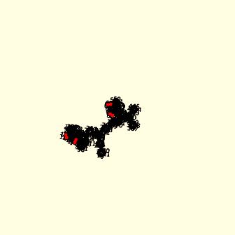 c1ccc(-c2ccc(-c3nc(-c4ccc(-c5ccc6c(ccc7c6c6cc8c(cc6n7-c6cc(-c7ccccc7)cc(-c7ccccc7)n6)Oc6ccccc6C86c7ccccc7-c7ccccc76)c5)cc4)nc(-c4cccc(-n5c6cc7c(cc6c6c8ccccc8ccc65)C5(c6ccccc6O7)c6ccccc6-c6ccccc65)c4)n3)cc2)cc1